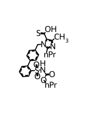 CCCOC(=O)NS(=O)(=O)c1ccccc1-c1ccc(Cn2c(CCC)nc(C)c2C(O)=S)cc1